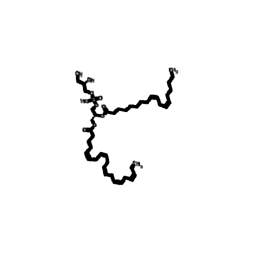 CC/C=C\C/C=C\C/C=C\C/C=C\C/C=C\CCCC(=O)OC[C@H](COP(=O)(O)OC[C@@H](O)CO)OC(=O)CCCCCCC/C=C\C/C=C\CCCCC